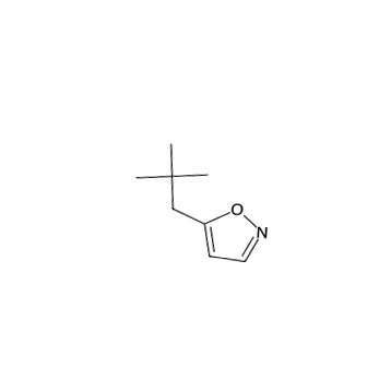 CC(C)(C)Cc1ccno1